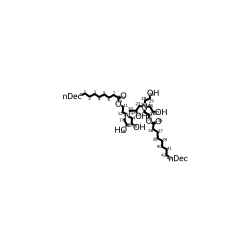 CCCCCCCCCCCCCCCCCC(=O)OCC[N+](CCO)(CCO)CC(O)C[N+](CCO)(CCO)CCOC(=O)CCCCCCCCCCCCCCCCC